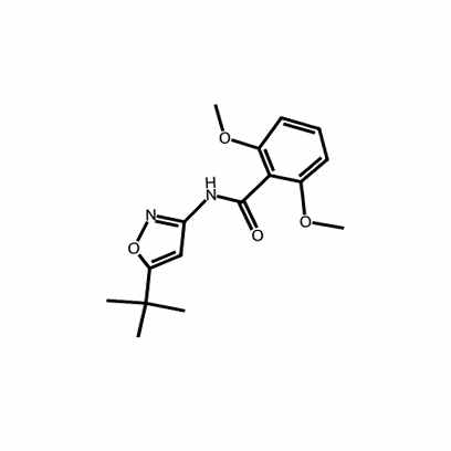 COc1cccc(OC)c1C(=O)Nc1cc(C(C)(C)C)on1